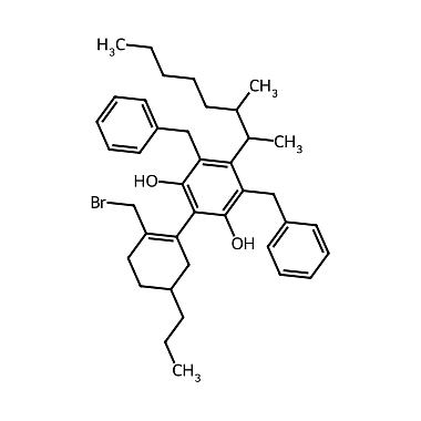 CCCCCC(C)C(C)c1c(Cc2ccccc2)c(O)c(C2=C(CBr)CCC(CCC)C2)c(O)c1Cc1ccccc1